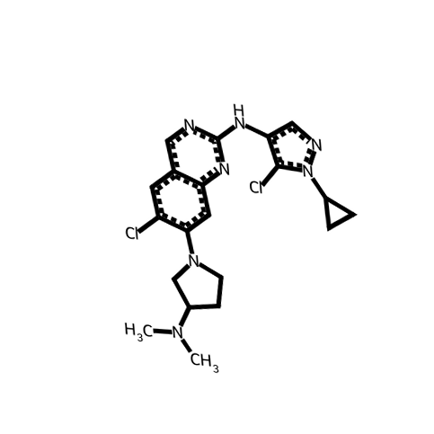 CN(C)C1CCN(c2cc3nc(Nc4cnn(C5CC5)c4Cl)ncc3cc2Cl)C1